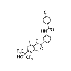 Cc1cc(C(O)(C(F)(F)F)C(F)(F)F)cc(C)c1NC(=O)c1cccc(NC(=O)c2ccc(Cl)cc2)c1